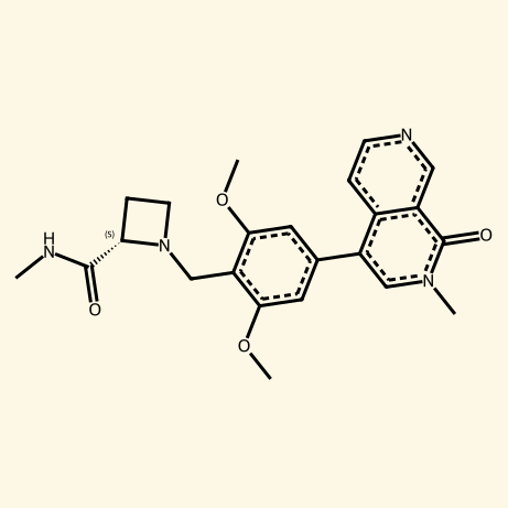 CNC(=O)[C@@H]1CCN1Cc1c(OC)cc(-c2cn(C)c(=O)c3cnccc23)cc1OC